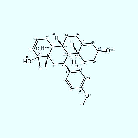 COc1ccc([C@H]2C[C@@]3(C)[C@@H](CC=CC3(C)O)[C@@H]3CCC4=CC(=O)CC[C@@H]4[C@H]32)cc1